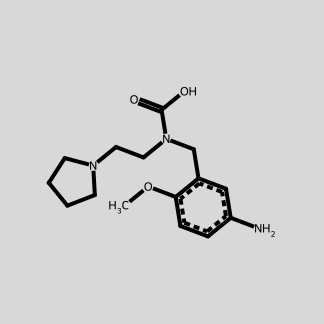 COc1ccc(N)cc1CN(CCN1CCCC1)C(=O)O